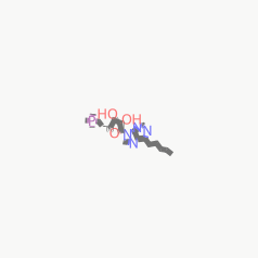 C=P(C)(C)CC[C@H]1O[C@@H](n2cnc3c(CCCCC)ncnc32)[C@H](O)[C@@H]1O